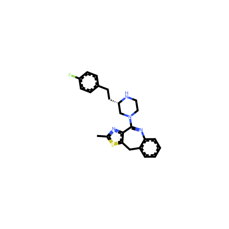 Cc1nc2c(s1)Cc1ccccc1N=C2N1CCN[C@@H](CCc2ccc(F)cc2)C1